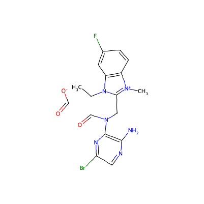 CCn1c(CN(C=O)c2nc(Br)cnc2N)[n+](C)c2ccc(F)cc21.O=C[O-]